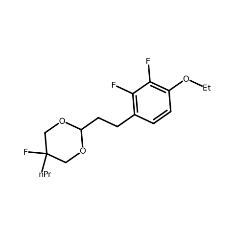 CCCC1(F)COC(CCc2ccc(OCC)c(F)c2F)OC1